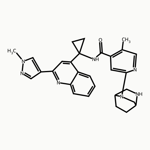 Cc1cnc(N2CC3CCC2CN3)cc1C(=O)NC1(c2cc(-c3cnn(C)c3)nc3ccccc23)CC1